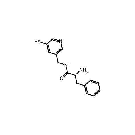 N[C@@H](Cc1ccccc1)C(=O)NCc1cncc(S)c1